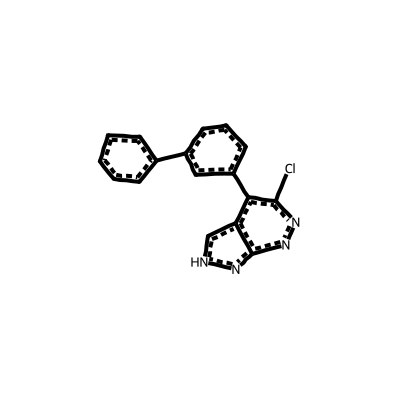 Clc1nnc2n[nH]cc2c1-c1cccc(-c2ccccc2)c1